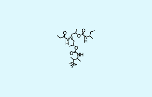 CCC(=O)NN(CC(C)OC(=O)NC(C)CC)CC(C)OC(=O)NC(C)[CH](C)[Sn]([CH3])([CH3])[CH3]